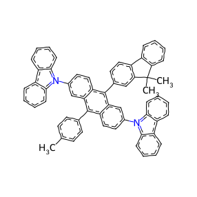 Cc1ccc(-c2c3ccc(-n4c5ccccc5c5ccccc54)cc3c(-c3ccc4c(c3)C(C)(C)c3ccccc3-4)c3ccc(-n4c5ccccc5c5ccccc54)cc23)cc1